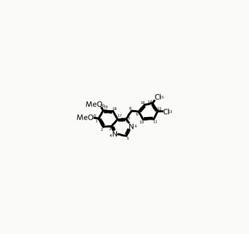 COc1cc2ncnc(Cc3ccc(Cl)c(Cl)c3)c2cc1OC